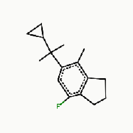 Cc1c(C(C)(C)C2CC2)cc(F)c2c1CCC2